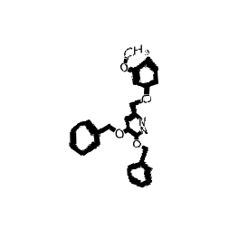 COc1cccc(OCc2cc(OCc3ccccc3)c(OCc3ccccc3)nn2)c1